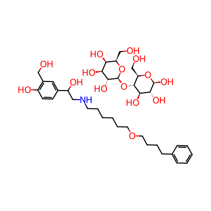 OC[C@H]1O[C@@H](O[C@H]2[C@H](O)[C@@H](O)[C@H](O)O[C@@H]2CO)[C@H](O)[C@@H](O)[C@H]1O.OCc1cc(C(O)CNCCCCCCOCCCCc2ccccc2)ccc1O